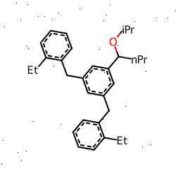 CCCC(OC(C)C)c1cc(Cc2ccccc2CC)cc(Cc2ccccc2CC)c1